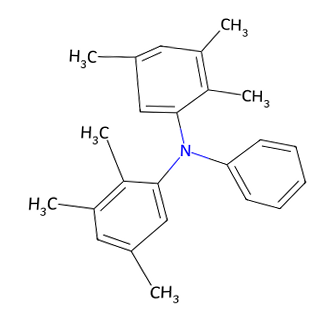 Cc1cc(C)c(C)c(N(c2ccccc2)c2cc(C)cc(C)c2C)c1